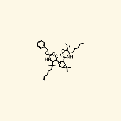 C=CCCCC(C)(C)C(NC(=O)OCc1ccccc1)C(=O)N1CC2C([C@H]1C(=O)N[C@@H](CCCCC)C(=O)OC)C2(C)C